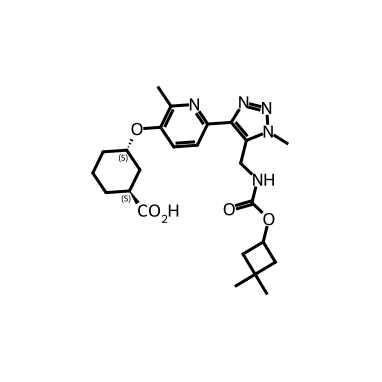 Cc1nc(-c2nnn(C)c2CNC(=O)OC2CC(C)(C)C2)ccc1O[C@H]1CCC[C@H](C(=O)O)C1